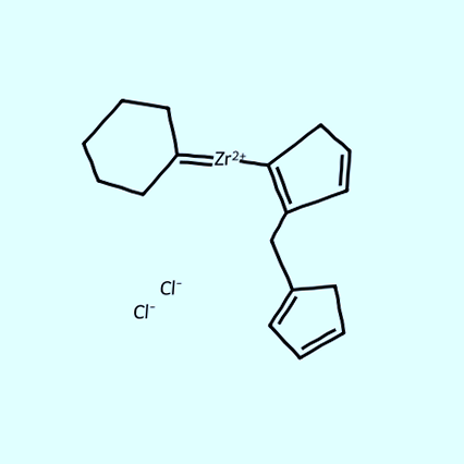 C1=CCC(CC2=[C]([Zr+2]=[C]3CCCCC3)CC=C2)=C1.[Cl-].[Cl-]